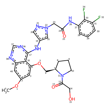 COc1cc(OC[C@H]2CCCN2C(=O)CO)c2c(Nc3cnn(CC(=O)Nc4cccc(F)c4F)c3)ncnc2c1